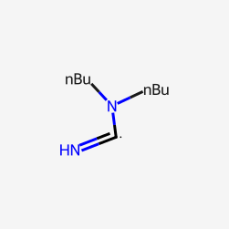 CCCCN([C]=N)CCCC